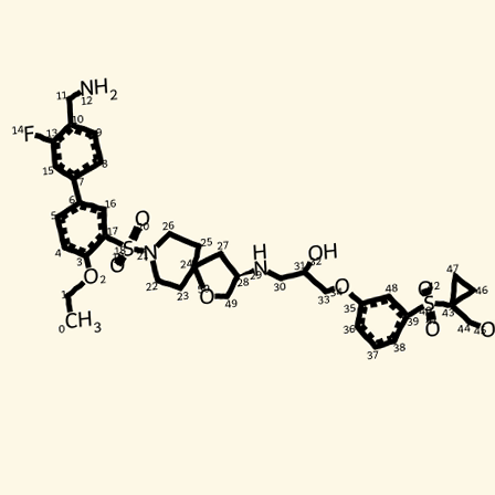 CCOc1ccc(-c2ccc(CN)c(F)c2)cc1S(=O)(=O)N1CCC2(CC1)C[C@@H](NCC(O)COc1cccc(S(=O)(=O)C3(CO)CC3)c1)CO2